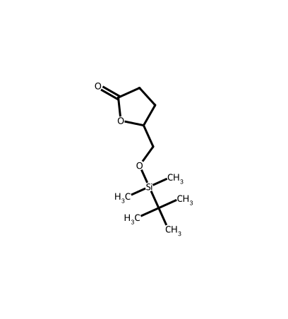 CC(C)(C)[Si](C)(C)OCC1CCC(=O)O1